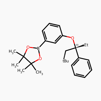 [CH2]C[C@@](CC(C)(C)C)(Oc1cccc(B2OC(C)(C)C(C)(C)O2)c1)c1ccccc1